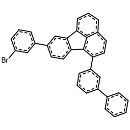 Brc1cccc(-c2ccc3c(c2)-c2cccc4ccc(-c5cccc(-c6ccccc6)c5)c-3c24)c1